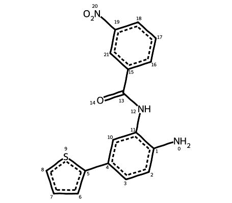 Nc1ccc(-c2cccs2)cc1NC(=O)c1cccc([N+](=O)[O-])c1